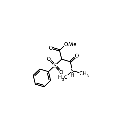 COC(=O)C(C(=O)[SH](C)C)S(=O)(=O)c1ccccc1